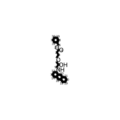 O=C(CCCOCC(O)CNc1cccc2cc3ccccc3cc12)OCc1ccccc1